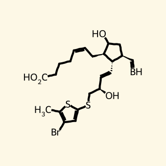 B=C[C@@H]1CC(O)[C@H](C/C=C\CCCC(=O)O)[C@H]1/C=C/[C@@H](O)CSc1cc(Br)c(C)s1